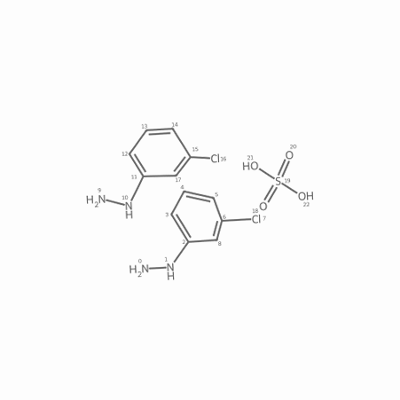 NNc1cccc(Cl)c1.NNc1cccc(Cl)c1.O=S(=O)(O)O